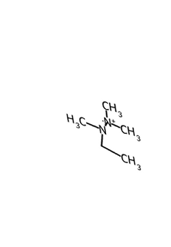 CCN(C)[N+](C)C